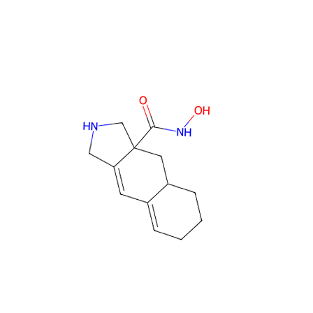 O=C(NO)C12CNCC1=CC1=CCCCC1C2